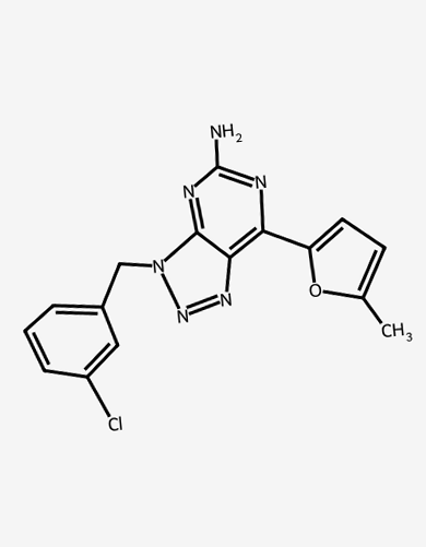 Cc1ccc(-c2nc(N)nc3c2nnn3Cc2cccc(Cl)c2)o1